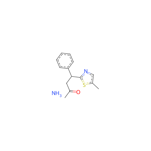 CC(=O)CC(c1ccccc1)c1ncc(C)s1.N